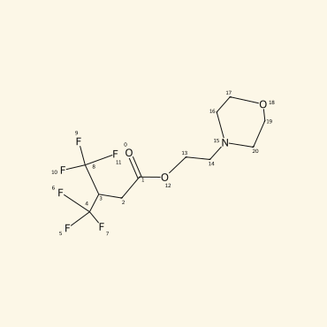 O=C(CC(C(F)(F)F)C(F)(F)F)OCCN1CCOCC1